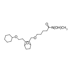 CN(O)C(=O)CCCCOCC1C2CCC(O2)C1CCOC1CCCCC1